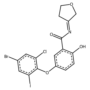 O=C(/N=C1\CCOC1)c1cc(Oc2c(Cl)cc(Br)cc2I)ccc1O